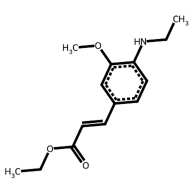 CCNc1ccc(C=CC(=O)OCC)cc1OC